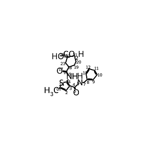 Cc1cc(C(=O)NCc2ccccc2)c(NC(=O)C2CCCCC2)s1.O=C(O)O